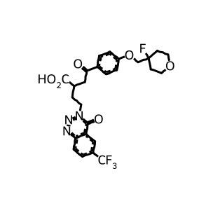 O=C(CC(CCn1nnc2ccc(C(F)(F)F)cc2c1=O)C(=O)O)c1ccc(OCC2(F)CCOCC2)cc1